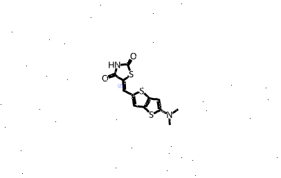 CN(C)c1cc2sc(/C=C3\SC(=O)NC3=O)cc2s1